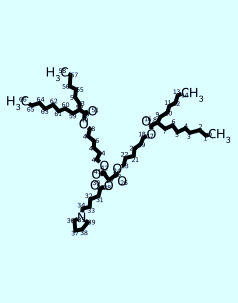 CCCCCCCCC(CCCCCC)C(=O)OCCCCCCOC(=O)C(OC(=O)CCCCN1CCCC1)C(=O)OCCCCCCOC(=O)C(CCCCCC)CCCCCCCC